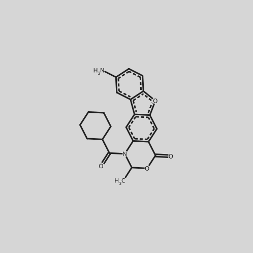 CC1OC(=O)c2cc3oc4ccc(N)cc4c3cc2N1C(=O)C1CCCCC1